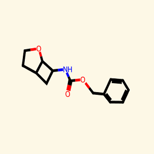 O=C(NC1CC2CCOC21)OCc1ccccc1